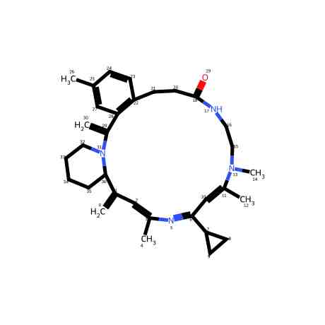 C=C1/C=C(C)/N=C(C2CC2)\C=C(/C)N(C)CCNC(=O)CCc2ccc(C)cc2C(=C)N2CCCCC12